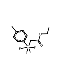 CCOC(=O)CS(F)(F)(F)(F)c1ccc(C)cc1